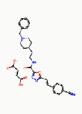 N#Cc1ccc(/C=C/c2nnc(C(=O)NCCC3CCN(Cc4ccccc4)CC3)o2)cc1.O=C(O)/C=C/C(=O)O